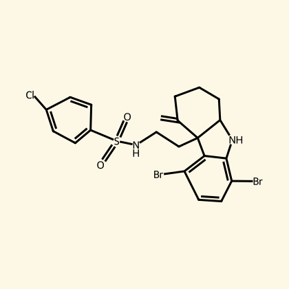 C=C1CCCC2Nc3c(Br)ccc(Br)c3C12CCNS(=O)(=O)c1ccc(Cl)cc1